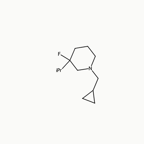 CC(C)C1(F)CCCN(CC2CC2)C1